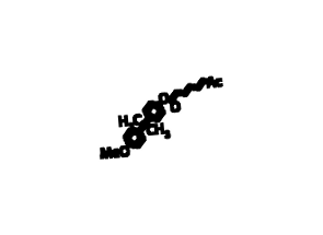 COc1ccc(C(C)(C)c2ccc(OC(=O)CCCCCC(C)=O)cc2)cc1